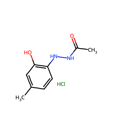 CC(=O)NNc1ccc(C)cc1O.Cl